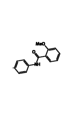 COc1ccccc1C(=O)Nc1cc[c]cc1